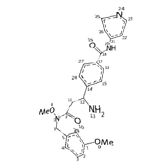 COc1cccc(CN(OC)C(=O)CC(N)c2ccc(C(=O)Nc3ccncc3)cc2)c1